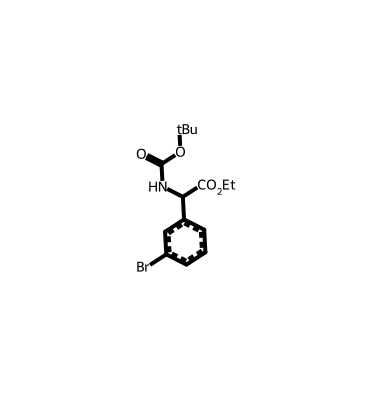 CCOC(=O)C(NC(=O)OC(C)(C)C)c1cccc(Br)c1